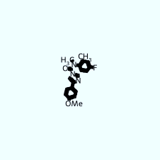 COc1ccc(-c2cn(C(=O)N(C)c3ccc(F)cc3C)cn2)cc1